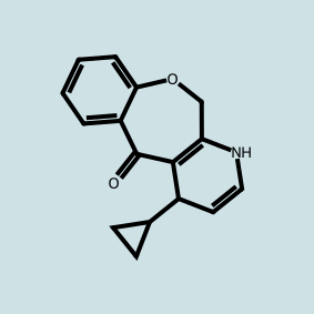 O=C1C2=C(COc3ccccc31)NC=CC2C1CC1